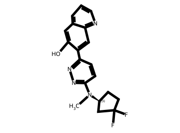 CN(c1ccc(-c2cc3ncccc3cc2O)nn1)[C@H]1CCC(F)(F)C1